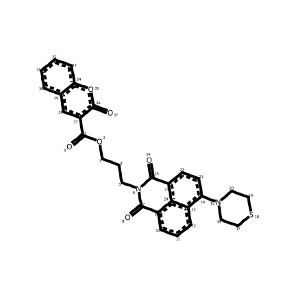 O=C(OCCCN1C(=O)c2cccc3c(N4CCSCC4)ccc(c23)C1=O)c1cc2ccccc2oc1=O